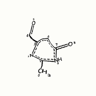 Cc1nc(C=O)cc(=O)[nH]1